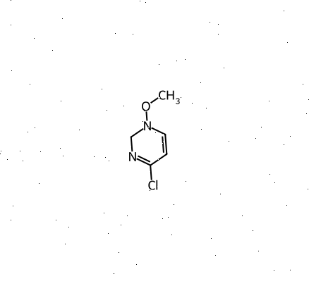 CON1C=CC(Cl)=NC1